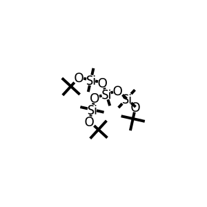 CC(C)(C)O[Si](C)(C)O[Si](C)(O[Si](C)(C)OC(C)(C)C)O[Si](C)(C)OC(C)(C)C